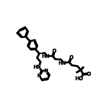 CC(C)(CCC(=O)NCCC(=O)NC[C@@H](CCNc1ncccn1)c1ccc(-c2ccccc2)cc1)C(=O)O